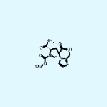 CC(C)(C)OC(=O)N1C[C@]2(C[C@H]1C(N)=O)C(=O)NCc1nccn12